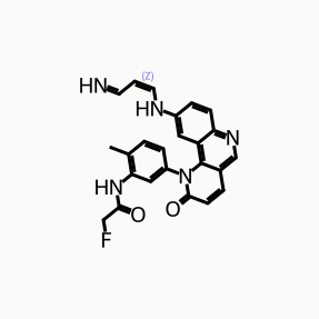 Cc1ccc(-n2c(=O)ccc3cnc4ccc(N/C=C\C=N)cc4c32)cc1NC(=O)CF